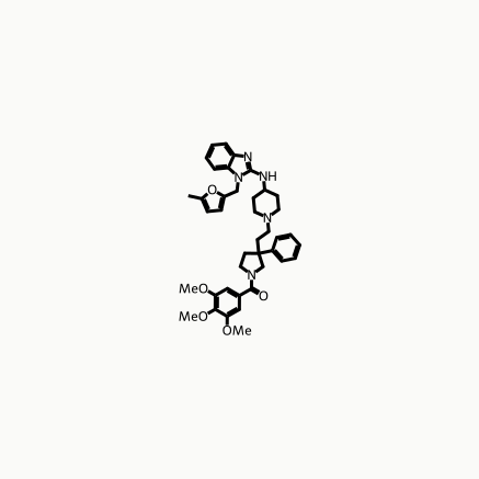 COc1cc(C(=O)N2CCC(CCN3CCC(Nc4nc5ccccc5n4Cc4ccc(C)o4)CC3)(c3ccccc3)C2)cc(OC)c1OC